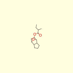 CCC(C)C(=O)OC1CC2OC1C1CCCC21